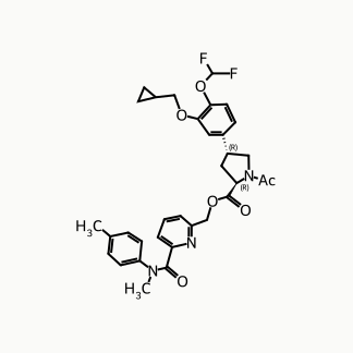 CC(=O)N1C[C@@H](c2ccc(OC(F)F)c(OCC3CC3)c2)C[C@@H]1C(=O)OCc1cccc(C(=O)N(C)c2ccc(C)cc2)n1